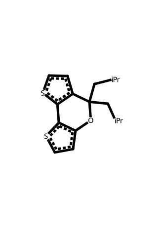 CC(C)CC1(CC(C)C)Oc2ccsc2-c2sccc21